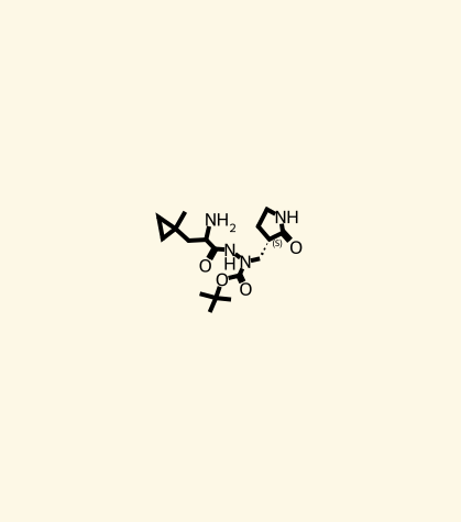 CC1(CC(N)C(=O)NN(C[C@@H]2CCNC2=O)C(=O)OC(C)(C)C)CC1